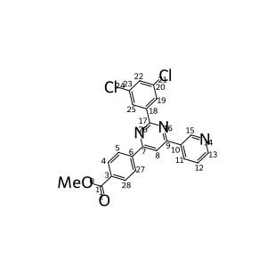 COC(=O)c1ccc(-c2cc(-c3cccnc3)nc(-c3cc(Cl)cc(Cl)c3)n2)cc1